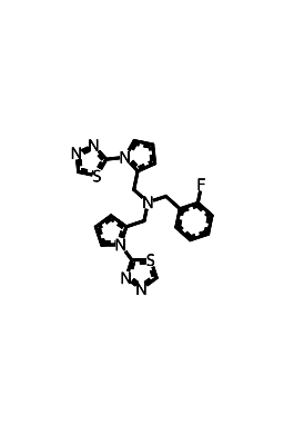 Fc1ccccc1CN(Cc1cccn1-c1nncs1)Cc1cccn1-c1nncs1